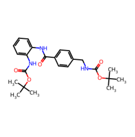 CC(C)(C)OC(=O)NCc1ccc(C(=O)Nc2ccccc2NC(=O)OC(C)(C)C)cc1